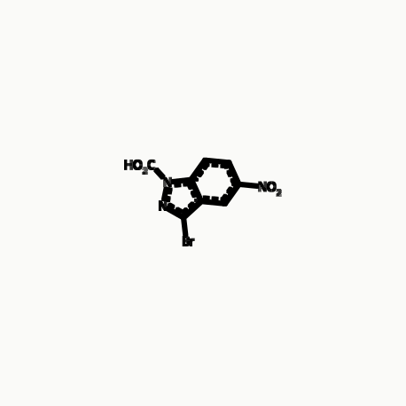 O=C(O)n1nc(Br)c2cc([N+](=O)[O-])ccc21